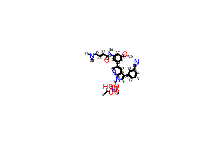 CCOP(=O)(O)OCn1cc(-c2cccc(C#N)c2)c2cc(-c3cc(OC)cc(N(C)C(=O)C=CCN(C)C)c3)cnc21